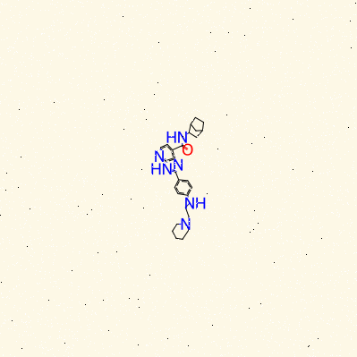 O=C(NC1CC2CCC1C2)c1ccnc2[nH]c(-c3ccc(NCCN4CCCCC4)cc3)nc12